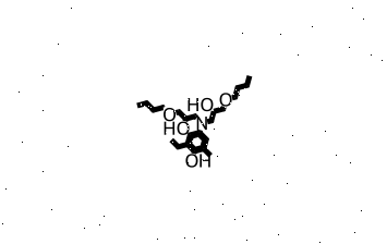 CCCCOCC(O)CN(CC(O)COCCCC)c1cc(C)c(O)c(CC)c1